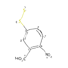 O=C(O)c1cc(S[S])ccc1[N+](=O)[O-]